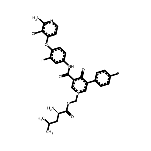 CC(C)C[C@H](N)C(=O)OCn1cc(C(=O)Nc2ccc(Oc3ccnc(N)c3Cl)c(F)c2)c(=O)c(-c2ccc(F)cc2)c1